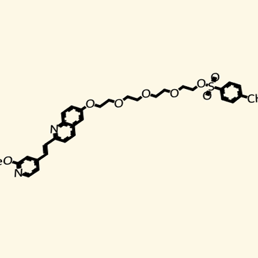 COc1cc(/C=C/c2ccc3cc(OCCOCCOCCOCCOS(=O)(=O)c4ccc(C)cc4)ccc3n2)ccn1